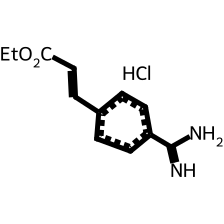 CCOC(=O)C=Cc1ccc(C(=N)N)cc1.Cl